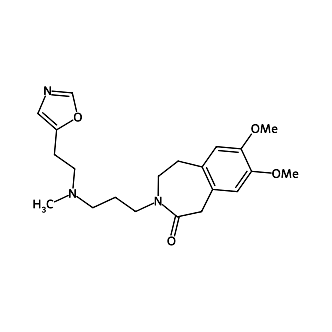 COc1cc2c(cc1OC)CC(=O)N(CCCN(C)CCc1cnco1)CC2